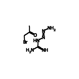 CC(=O)CBr.N=C(N)NN=NN